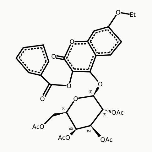 CCOc1ccc2c(O[C@@H]3O[C@H](COC(C)=O)[C@H](OC(C)=O)[C@H](OC(C)=O)[C@H]3OC(C)=O)c(OC(=O)c3ccccc3)c(=O)oc2c1